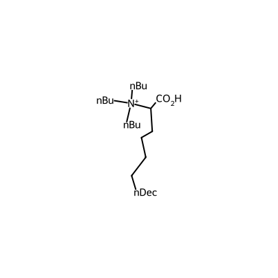 CCCCCCCCCCCCCCC(C(=O)O)[N+](CCCC)(CCCC)CCCC